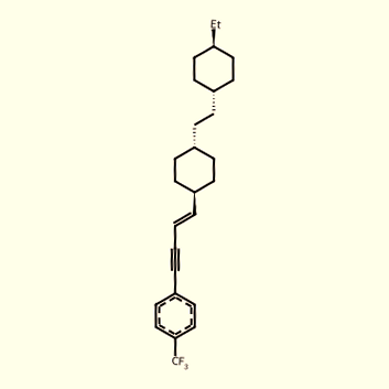 CC[C@H]1CC[C@H](CC[C@H]2CC[C@H](C=CC#Cc3ccc(C(F)(F)F)cc3)CC2)CC1